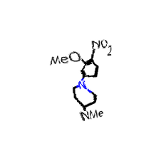 CNC1CCN(c2ccc([N+](=O)[O-])c(OC)c2)CC1